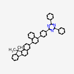 CC1(C)c2ccccc2-c2ccc3cc(-c4ccc(-c5ccc(-c6nc(-c7ccccc7)nc(-c7ccccc7)n6)cc5)c5ccccc45)ccc3c21